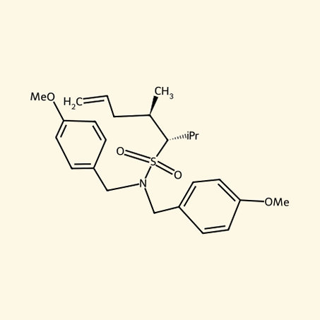 C=CC[C@@H](C)[C@H](C(C)C)S(=O)(=O)N(Cc1ccc(OC)cc1)Cc1ccc(OC)cc1